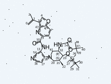 C=C(C)c1coc2ccc(C(=O)Nc3cnccc3N3C[C@H](C)C(O[Si](C)(C)C(C)(C)C)[C@H](NC(=O)OC(C)(C)C)C3)nc12